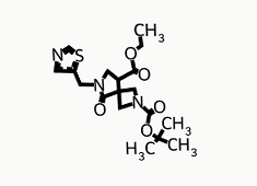 CCOC(=O)C1CN(Cc2cncs2)C(=O)C12CN(C(=O)OC(C)(C)C)C2